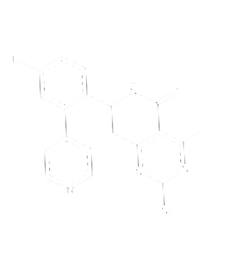 Cc1nc(N)nc2c1C(=O)NC(c1ccc(F)cc1-c1ccncc1)C2